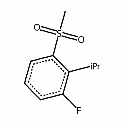 CC(C)c1c(F)cccc1S(C)(=O)=O